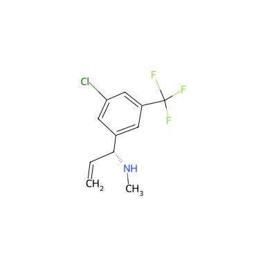 C=C[C@@H](NC)c1cc(Cl)cc(C(F)(F)F)c1